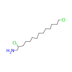 NCC(Cl)CCCCCCCCCCCCCl